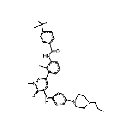 CCCN1CCN(c2ccc(Nc3cc(-c4cccc(NC(=O)c5ccc(C(C)(C)C)cc5)c4C)cn(C)c3=O)cc2)CC1